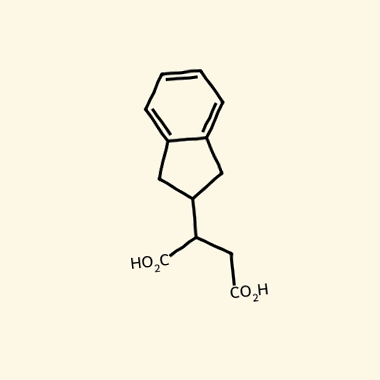 O=C(O)CC(C(=O)O)C1Cc2ccccc2C1